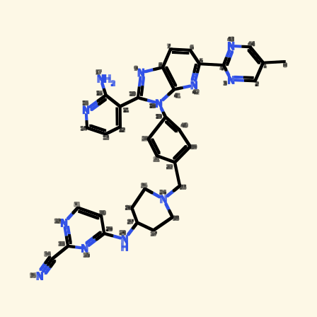 Cc1cnc(-c2ccc3nc(-c4cccnc4N)n(-c4ccc(CN5CCC(Nc6ccnc(C#N)n6)CC5)cc4)c3n2)nc1